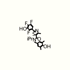 Cc1cc(CN(C(=O)c2sc(-c3cc(F)c(F)c(O)c3F)nc2C)C(C)C)cc(C)c1O